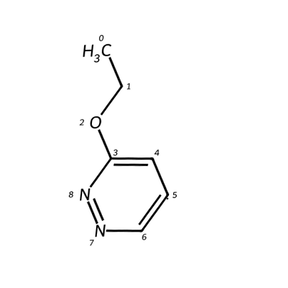 CCOc1c[c]cnn1